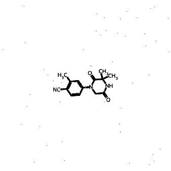 Cc1cc(N2CC(=O)NC(C)(C)C2=O)ccc1C#N